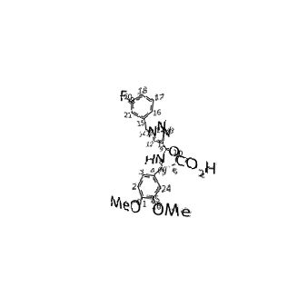 COc1ccc([C@@H](CC(=O)O)NC(=O)c2cn(Cc3cccc(F)c3)nn2)cc1OC